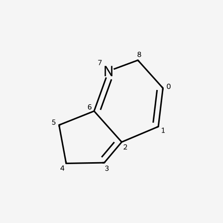 C1=CC2=CCCC2=NC1